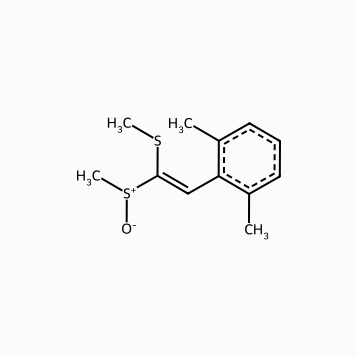 CS/C(=C\c1c(C)cccc1C)[S+](C)[O-]